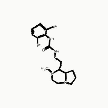 CC(C)c1cccc(C(C)C)c1NC(=O)NSCC1C2CCCN2CCN1C